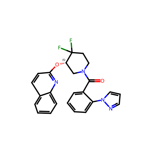 O=C(c1ccccc1-n1cccn1)N1CCC(F)(F)[C@@H](Oc2ccc3ccccc3n2)C1